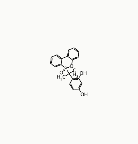 CC(C)(c1ccc(O)cc1O)P1(=O)Oc2ccccc2-c2ccccc21